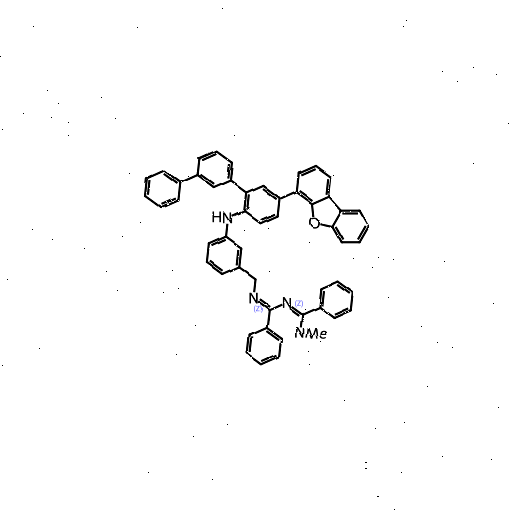 CN/C(=N\C(=N/Cc1cccc(Nc2ccc(-c3cccc4c3oc3ccccc34)cc2-c2cccc(-c3ccccc3)c2)c1)c1ccccc1)c1ccccc1